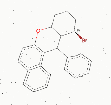 Br[C@@H]1CCCC2Oc3ccc4ccccc4c3C(c3ccccc3)C21